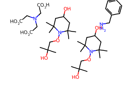 CC(C)(O)CON1C(C)(C)CC(O)CC1(C)C.CC(C)(O)CON1C(C)(C)CC(O)CC1(C)C.NCc1ccccc1.O=C(O)CN(CC(=O)O)CC(=O)O